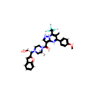 COc1ccc(-c2nc3c(C(=O)N4CCN([C@@H](CO)c5cc6ccccc6o5)C[C@H]4C)cnn3c(C(F)(F)F)c2C)cc1